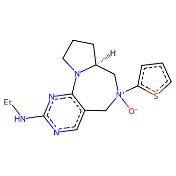 CCNc1ncc2c(n1)N1CCC[C@H]1C[N+]([O-])(c1cccs1)C2